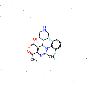 CC(=O)C1=C(C(=O)O)C(C2CCNCC2)N(c2c(F)cccc2F)C(C)=N1